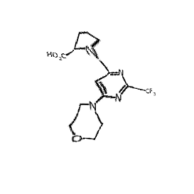 O=C(O)[C@H]1CCN1c1cc(N2CCOCC2)nc(C(F)(F)F)n1